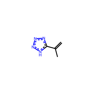 C=C(C)c1nnn[nH]1